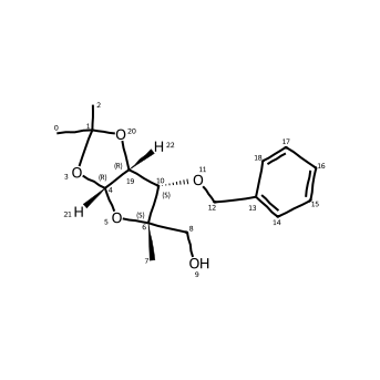 CC1(C)O[C@H]2O[C@@](C)(CO)[C@@H](OCc3ccccc3)[C@H]2O1